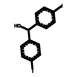 OC(c1ccc(I)cc1)c1ccc(I)cc1